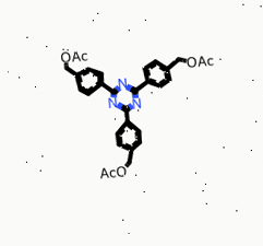 CC(=O)OCc1ccc(-c2nc(-c3ccc(COC(C)=O)cc3)nc(-c3ccc(COC(C)=O)cc3)n2)cc1